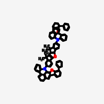 CC1(C)c2cc(N(c3ccccc3-c3ccccc3)c3cccc4c3oc3c(-c5ccccc5)cccc34)ccc2-c2oc3c(c21)C(C)(C)c1cc(N(c2ccccc2-c2ccccc2)c2cccc4c2oc2c(-c5ccccc5)cccc24)ccc1-3